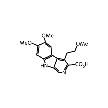 COCCc1c(C(=O)O)ncc2[nH]c3cc(OC)c(OC)cc3c12